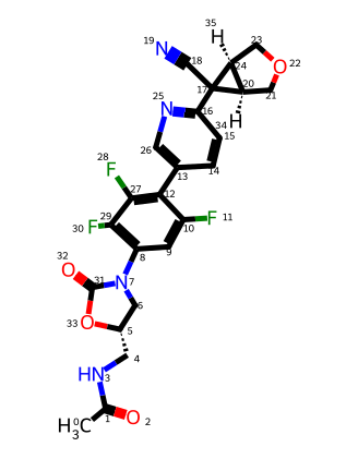 CC(=O)NC[C@H]1CN(c2cc(F)c(-c3ccc(C4(C#N)[C@@H]5COC[C@@H]54)nc3)c(F)c2F)C(=O)O1